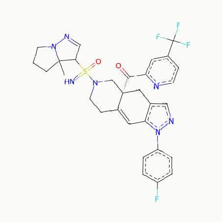 CC12CCCN1N=CC2S(=N)(=O)N1CCC2=Cc3c(cnn3-c3ccc(F)cc3)C[C@]2(C(=O)c2cc(C(F)(F)F)ccn2)C1